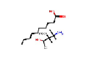 CCCCCCCCC(C)(C(O)CC)C(C)(C)N.CCCCCCCCCC(=O)O